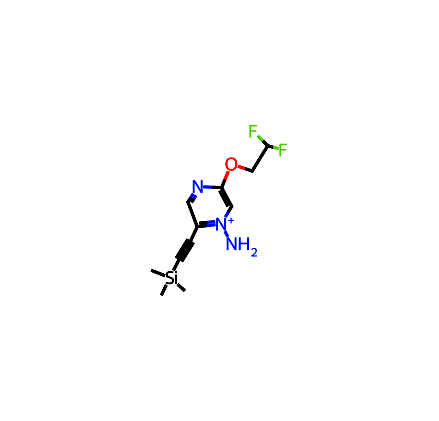 C[Si](C)(C)C#Cc1cnc(OCC(F)F)c[n+]1N